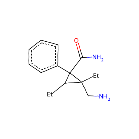 CCC1C(CC)(CN)C1(C(N)=O)c1ccccc1